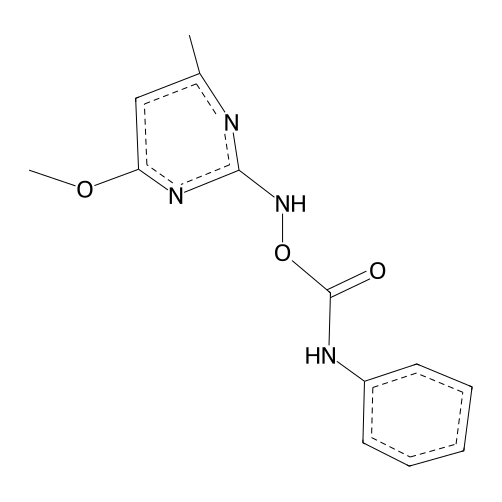 COc1cc(C)nc(NOC(=O)Nc2ccccc2)n1